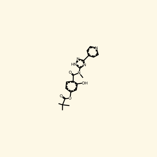 CN(C(=O)c1ccc(OC(=O)C(C)(C)C)cc1O)c1nc(-c2ccncc2)n[nH]1